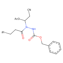 CC(=O)OC(CC#N)N(NC(=O)OCc1ccccc1)C(=O)CCC(C)C